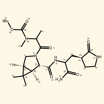 CC(C(=O)N1C[C@H]2[C@@H]([C@H]1C(=O)NC(C[C@@H]1CCNC1=O)C(N)=O)C2(C)C)N(C)C(=O)OC(C)(C)C